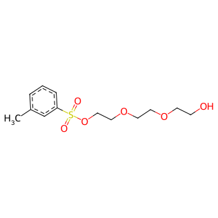 Cc1cccc(S(=O)(=O)OCCOCCOCCO)c1